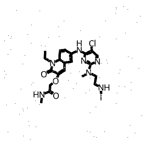 CCN1C(=O)C(OCC(=O)NC)=CC2C=C(Nc3nc(N(C)CCNI)ncc3Cl)C=CC21